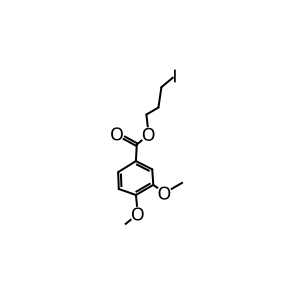 COc1ccc(C(=O)OCCCI)cc1OC